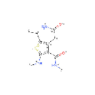 CCc1sc(NC)c(C(=O)NC)c1CC(N)=O